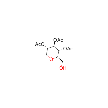 CC(=O)O[C@H]1[C@H](OC(C)=O)[C@@H](CO)O[CH][C@@H]1OC(C)=O